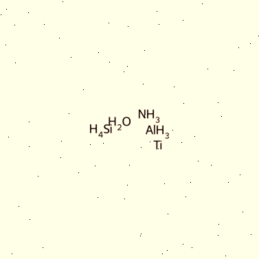 N.O.[AlH3].[SiH4].[Ti]